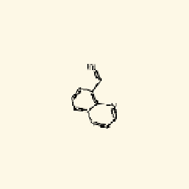 N=Cc1cccc2nccnc12